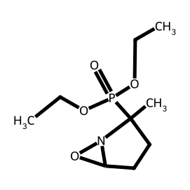 CCOP(=O)(OCC)C1(C)CCC2ON21